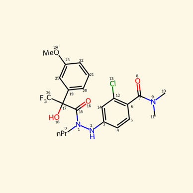 CCCN(Nc1ccc(C(=O)N(C)C)c(Cl)c1)C(=O)C(O)(c1cccc(OC)c1)C(F)(F)F